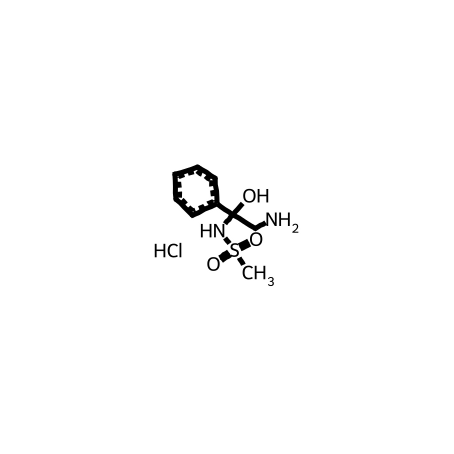 CS(=O)(=O)NC(O)(CN)c1ccccc1.Cl